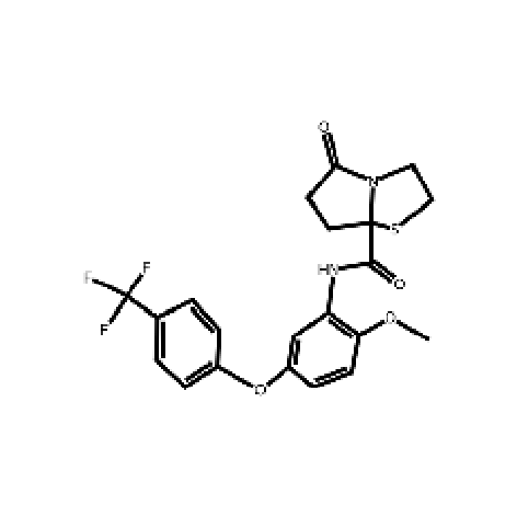 COc1ccc(Oc2ccc(C(F)(F)F)cc2)cc1NC(=O)C12CCC(=O)N1CCS2